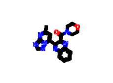 Cc1cc(-c2nc3ccccc3nc2C(=O)N2CCOCC2)n2ncnc2n1